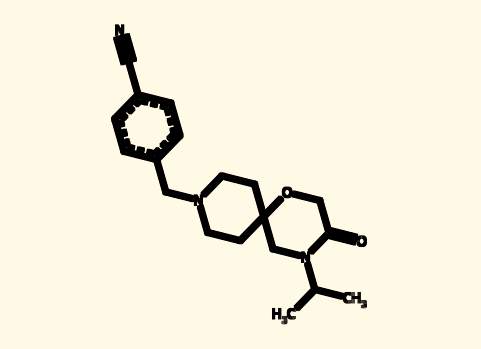 CC(C)N1CC2(CCN(Cc3ccc(C#N)cc3)CC2)OCC1=O